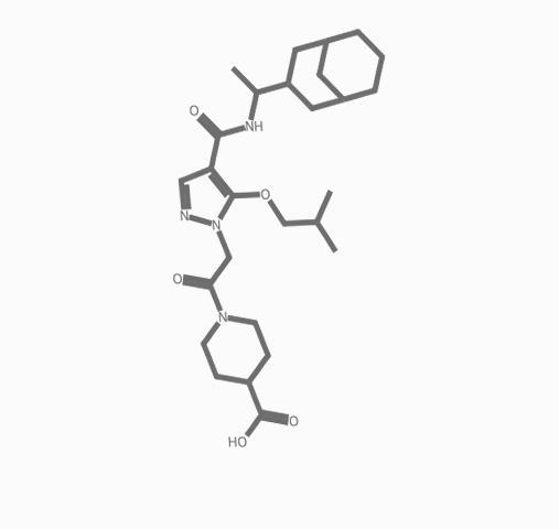 CC(C)COc1c(C(=O)NC(C)C2CC3CCCC(C3)C2)cnn1CC(=O)N1CCC(C(=O)O)CC1